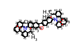 Cc1ccccc1N(c1ccc2cc3c(cc2c1)oc1cc2cc(N(c4ccccc4C)c4c(-c5ccccc5)cccc4C(C)C)ccc2cc13)c1c(-c2ccccc2)cccc1C(C)C